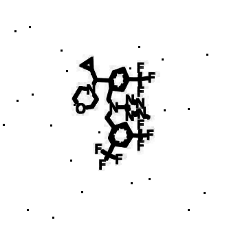 Cn1nnc(N(Cc2cc(C(F)(F)F)cc(C(F)(F)F)c2)Cc2cc(C(F)(F)F)ccc2C(C2CC2)N2CCOCC2)n1